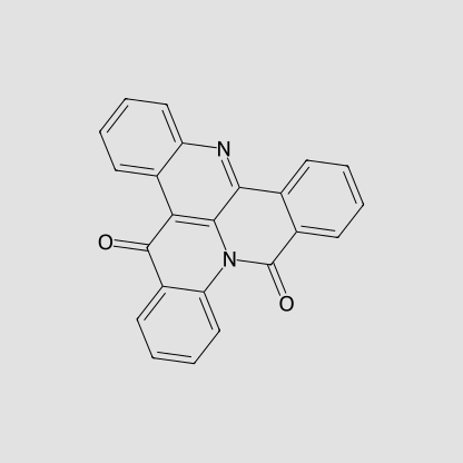 O=c1c2ccccc2n2c(=O)c3ccccc3c3nc4ccccc4c1c32